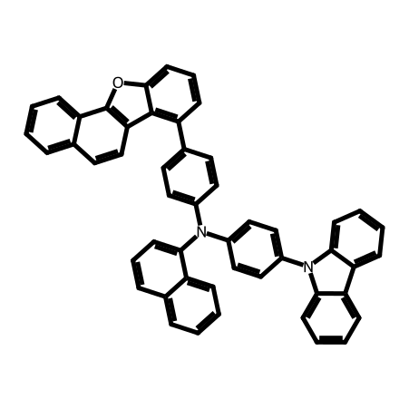 c1ccc2c(N(c3ccc(-c4cccc5oc6c7ccccc7ccc6c45)cc3)c3ccc(-n4c5ccccc5c5ccccc54)cc3)cccc2c1